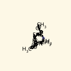 CCOC(=O)CCc1cccc(C2CC/C=C/CC(C)(C)c3cnn(c3)Cc3c(c(F)cc4c3ccn4S(=O)(=O)c3ccc(C)cc3)Oc3ccc(F)c(c3)-c3ccn2n3)c1